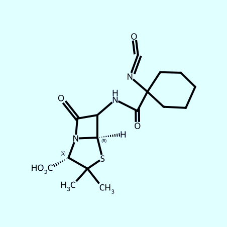 CC1(C)S[C@@H]2C(NC(=O)C3(N=C=O)CCCCC3)C(=O)N2[C@H]1C(=O)O